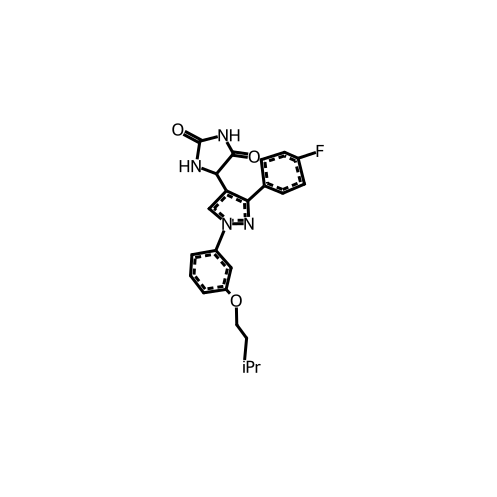 CC(C)CCOc1cccc(-n2cc(C3NC(=O)NC3=O)c(-c3ccc(F)cc3)n2)c1